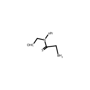 BCC(=S)N(CC=O)CCC